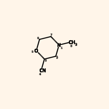 CN1[CH]C(C#N)OCC1